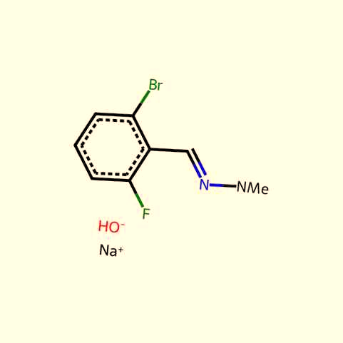 CN/N=C/c1c(F)cccc1Br.[Na+].[OH-]